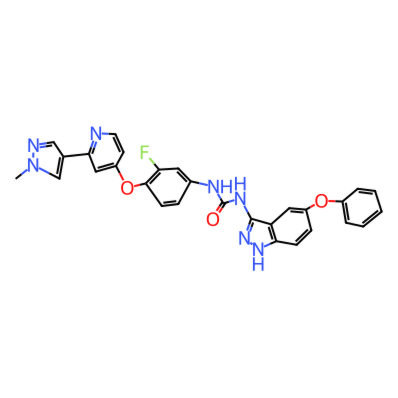 Cn1cc(-c2cc(Oc3ccc(NC(=O)Nc4n[nH]c5ccc(Oc6ccccc6)cc45)cc3F)ccn2)cn1